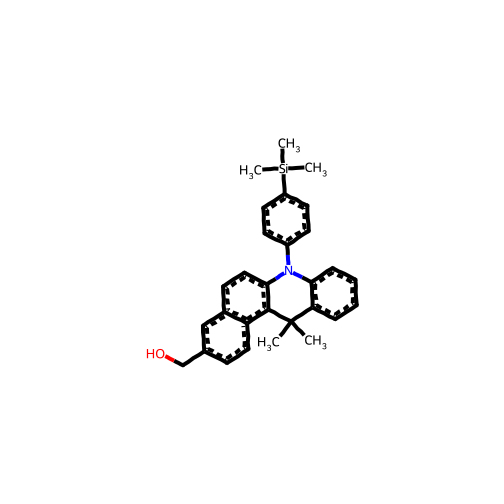 CC1(C)c2ccccc2N(c2ccc([Si](C)(C)C)cc2)c2ccc3cc(CO)ccc3c21